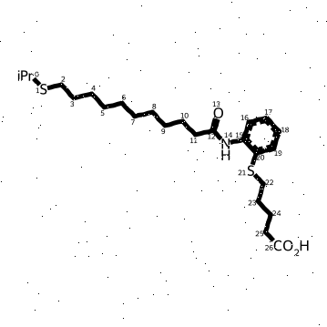 CC(C)SCCCCCCCCCCC(=O)Nc1ccccc1SCCCCC(=O)O